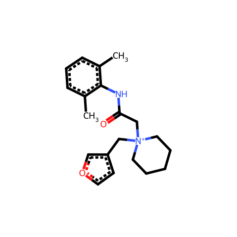 Cc1cccc(C)c1NC(=O)C[N+]1(Cc2ccoc2)CCCCC1